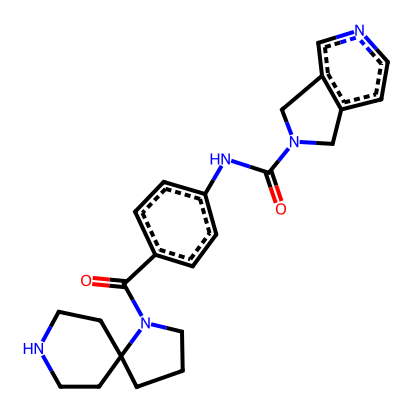 O=C(Nc1ccc(C(=O)N2CCCC23CCNCC3)cc1)N1Cc2ccncc2C1